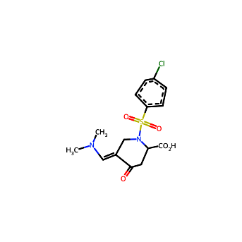 CN(C)C=C1CN(S(=O)(=O)c2ccc(Cl)cc2)C(C(=O)O)CC1=O